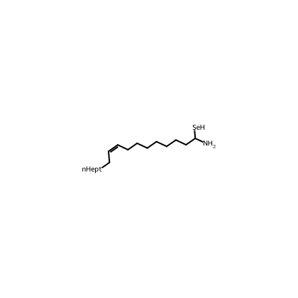 CCCCCCCC/C=C\CCCCCCCC(N)[SeH]